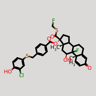 C[C@]12C=CC(=O)C=C1CCC1C3CC[C@](OC(=O)c4ccc(CSc5ccc(O)c(Cl)c5)cc4)(C(=O)SCF)[C@@]3(C)C[C@H](O)C12F